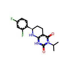 CC(C)n1c(=O)[nH]c2c(c1=O)CC[C@H](c1ccc(F)cc1F)N2